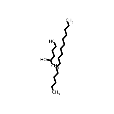 CC(O)CCCO.CCCCCCCCCCCCCCCC